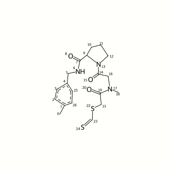 Cc1ccc(CNC(=O)C2CCCN2C(=O)CN(C)C(=O)CSC=S)cc1